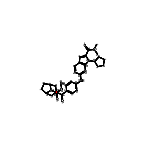 CN(C)C(=O)c1cc2cnc(Nc3ccc(C(=O)N4CC5CCC(C4)N5C(=O)OC(C)(C)C)cn3)nc2n1C1CCCC1